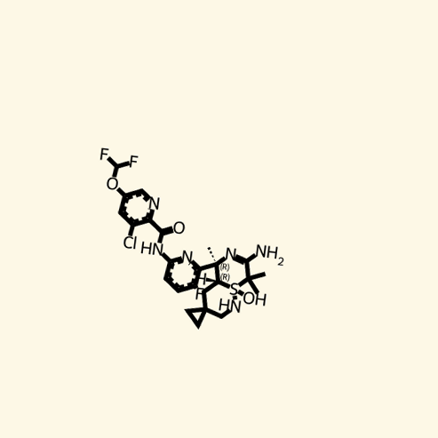 CC1(C)C(N)=N[C@](C)(c2nc(NC(=O)c3ncc(OC(F)F)cc3Cl)ccc2F)[C@H]2CC3(CC3)CNS21O